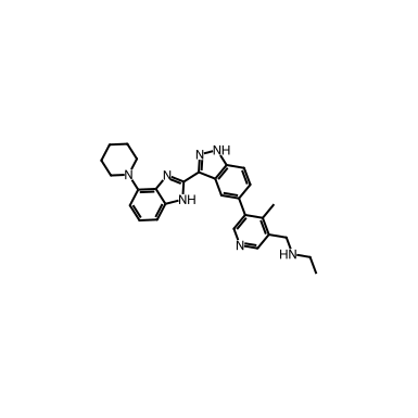 CCNCc1cncc(-c2ccc3[nH]nc(-c4nc5c(N6CCCCC6)cccc5[nH]4)c3c2)c1C